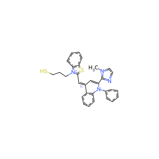 Cn1ccnc1C1=C/C(=C\c2sc3ccccc3[n+]2CCCS)c2ccccc2N1c1ccccc1